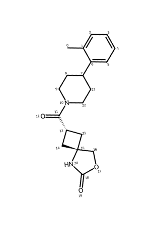 Cc1ccccc1C1CCN(C(=O)[C@H]2C[C@]3(COC(=O)N3)C2)CC1